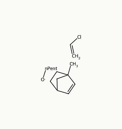 C=CCl.CC12C=CC(CC1)C2.CCCCC[O]